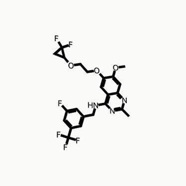 COc1cc2nc(C)nc(NCc3cc(F)cc(C(F)(F)F)c3)c2cc1OCCOC1CC1(F)F